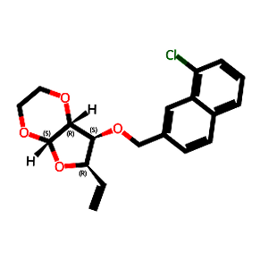 C=C[C@H]1O[C@@H]2OCCO[C@@H]2[C@H]1OCc1ccc2cccc(Cl)c2c1